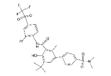 Cc1c(-c2ccc(S(=O)(=O)N(C)C)cc2)cc(C(C)(C)C)c(O)c1C(=O)Nc1ccc(S(=O)(=O)C(F)(F)F)cc1Cl